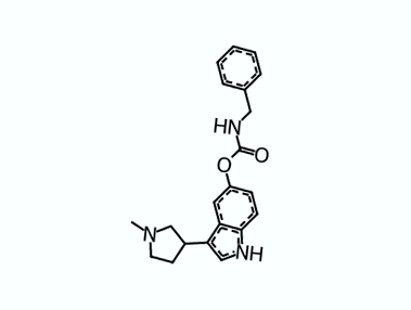 CN1CCC(c2c[nH]c3ccc(OC(=O)NCc4ccccc4)cc23)C1